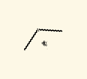 CCCCCCCCCCCCCCCCCC[N+](C)(C)CCCCCCCCCCCCCCCCCC.COS(=O)(=O)[O-].[Al]